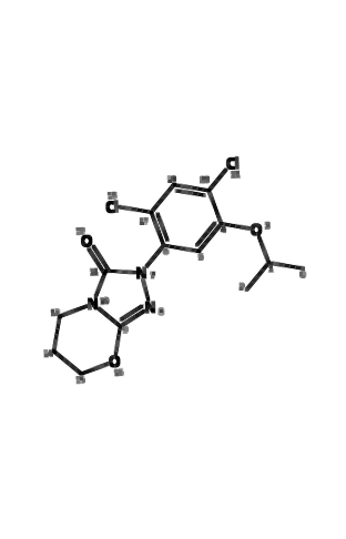 CC(C)Oc1cc(-n2nc3n(c2=O)CCCO3)c(Cl)cc1Cl